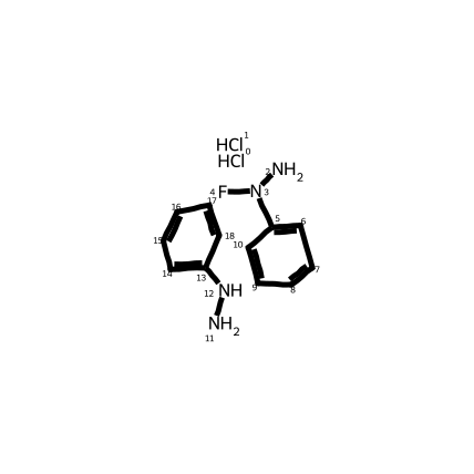 Cl.Cl.NN(F)c1ccccc1.NNc1ccccc1